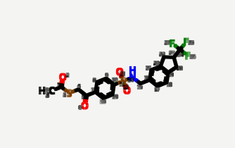 CC(=O)SCC(=O)c1ccc(S(=O)(=O)NCc2ccc3c(c2)CC(C(F)(F)F)C3)cc1